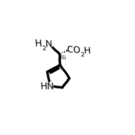 N[C@H](C(=O)O)C1=CNCC1